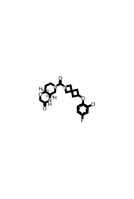 O=C1CO[C@H]2CCN(C(=O)N3CC4(CC(Oc5ccc(F)cc5Cl)C4)C3)C[C@H]2N1